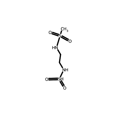 CS(=O)(=O)NCCN[SH](=O)=O